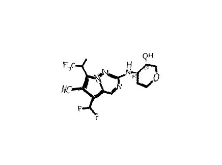 CC(c1c(C#N)c(C(F)F)c2cnc(N[C@@H]3CCOC[C@H]3O)nn12)C(F)(F)F